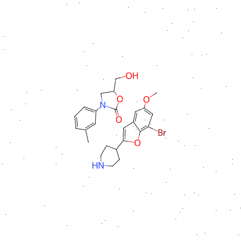 COc1cc(Br)c2oc(C3CCNCC3)cc2c1.Cc1cccc(N2CC(CO)OC2=O)c1